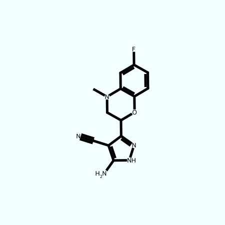 CN1CC(c2n[nH]c(N)c2C#N)Oc2ccc(F)cc21